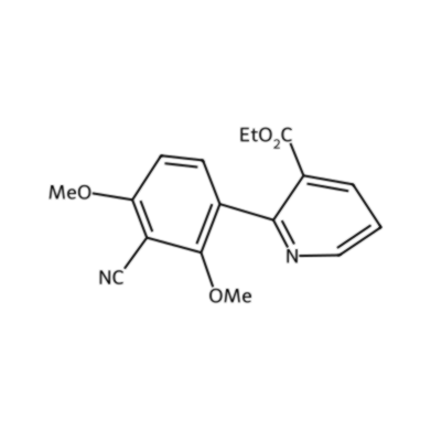 CCOC(=O)c1cccnc1-c1ccc(OC)c(C#N)c1OC